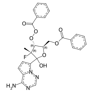 C[C@@]1(F)[C@H](OOC(=O)c2ccccc2)[C@@H](COC(=O)c2ccccc2)OC1(O)c1ccc2c(N)ncnn12